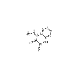 O=C1Nc2ccccc2/C(=N/O)C1=O